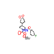 CC(C)(C)OOC(=O)c1ccc(-c2ccc3c(c2)OCO3)cc1NC(=O)c1ccc(F)cc1